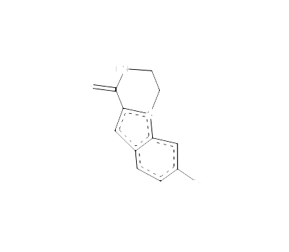 O=C1NCCn2c1cc1ccc(Br)cc12